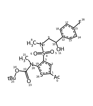 CC(=O)c1cc(S(=O)(=O)N(C)CC(O)c2ccc(F)cc2)c(N(C)C(=O)OC(C)(C)C)s1